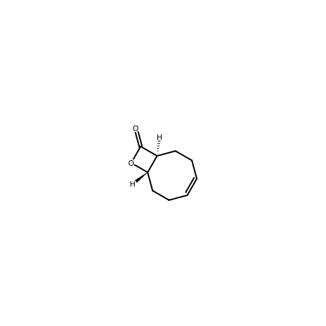 O=C1O[C@H]2CC/C=C\CC[C@H]12